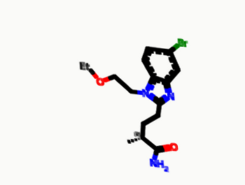 CCOCCn1c(CC[C@@H](C)C(N)=O)nc2cc(Br)ccc21